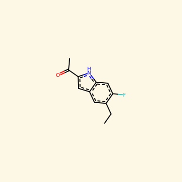 CCc1cc2cc(C(C)=O)[nH]c2cc1F